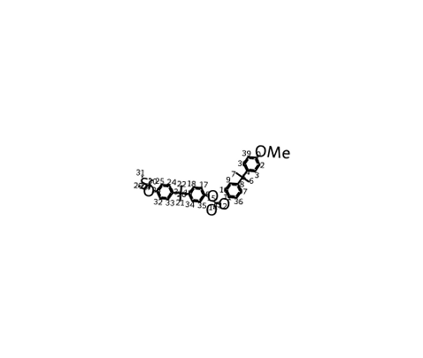 COc1ccc(C(C)(C)c2ccc(OC(=O)Oc3ccc(C(C)(C)c4ccc(O[Si](C)(C)C)cc4)cc3)cc2)cc1